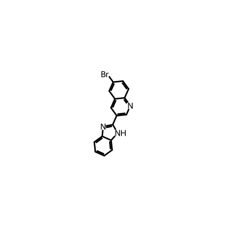 Brc1ccc2ncc(-c3nc4ccccc4[nH]3)cc2c1